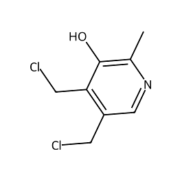 Cc1ncc(CCl)c(CCl)c1O